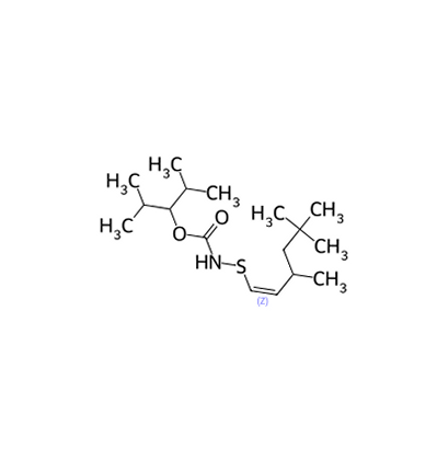 CC(/C=C\SNC(=O)OC(C(C)C)C(C)C)CC(C)(C)C